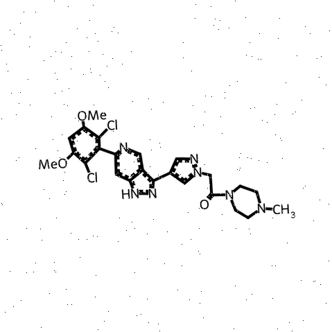 COc1cc(OC)c(Cl)c(-c2cc3[nH]nc(-c4cnn(CC(=O)N5CCN(C)CC5)c4)c3cn2)c1Cl